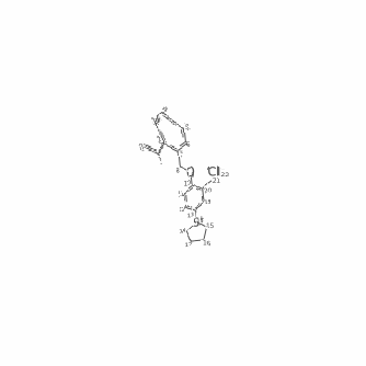 C=Cc1ccccc1COc1ccc([S+]2CCCC2)cc1C.[Cl-]